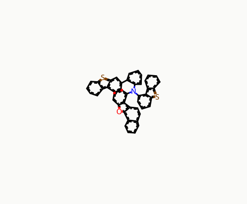 c1ccc(N(c2cccc3oc4c5ccccc5ccc4c23)c2cccc3sc4ccccc4c23)c(-c2ccc3c(c2)sc2ccccc23)c1